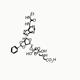 CCNC(=O)Nc1ncnc2c1ncn2[C@@H]1O[C@H](COP(=O)(O)OP(=O)(O)CNCC(=O)O)C2O[C@@H](c3ccccc3)O[C@@H]21